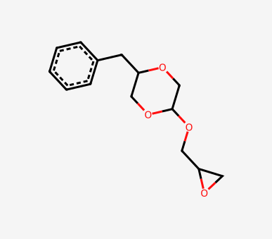 c1ccc(CC2COC(OCC3CO3)CO2)cc1